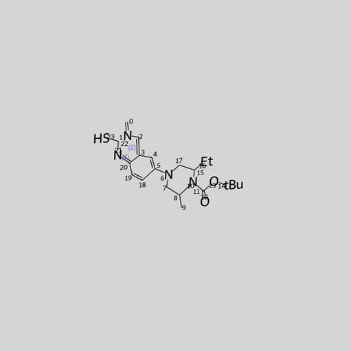 C=N/C=C1/C=C(N2CC(C)N(C(=O)OC(C)(C)C)C(CC)C2)C=C/C1=N/CS